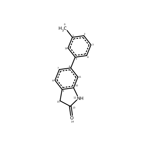 Cc1cccc(-c2ccc3c(c2)NC(=O)C3)c1